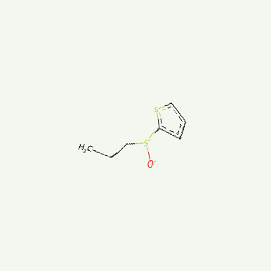 CCC[S+]([O-])c1cccs1